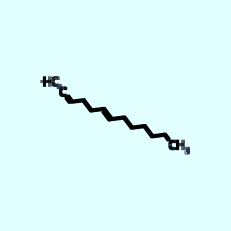 [CH]=C=CCCC=CCCCCCC